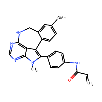 C=CC(=O)Nc1ccc(-c2c3c4c(ncnc4n2C)NCc2cc(OC)ccc2-3)cc1